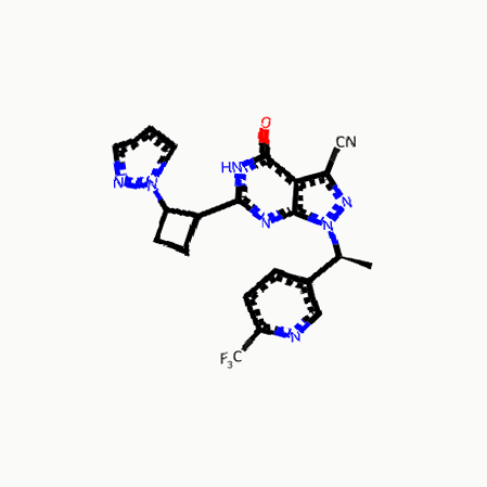 C[C@@H](c1ccc(C(F)(F)F)nc1)n1nc(C#N)c2c(=O)[nH]c(C3CCC3n3cccn3)nc21